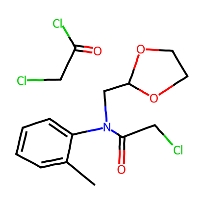 Cc1ccccc1N(CC1OCCO1)C(=O)CCl.O=C(Cl)CCl